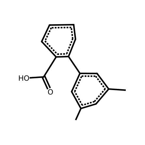 Cc1cc(C)cc(-c2ccccc2C(=O)O)c1